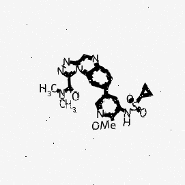 COc1ncc(-c2ccc3ncc4nnc(C(=O)N(C)C)n4c3c2)cc1NS(=O)(=O)C1CC1